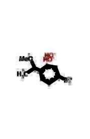 [B+2]c1ccc(C(C)OC)cc1.[OH-].[OH-]